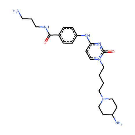 NCCCNC(=O)c1ccc(Nc2ccn(CCCCN3CCC(N)CC3)c(=O)n2)cc1